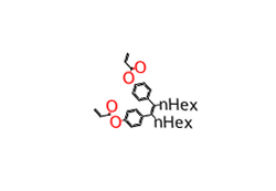 C=CC(=O)Oc1ccc(C(CCCCCC)=C(CCCCCC)c2ccc(OC(=O)C=C)cc2)cc1